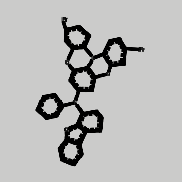 CC(C)c1ccc2c(c1)Oc1cc(N(c3ccccc3)c3cccc4c3oc3ccccc34)cc3c1B2c1ccc(C(C)C)cc1O3